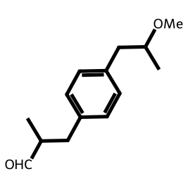 COC(C)Cc1ccc(CC(C)C=O)cc1